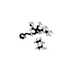 CCOC(=O)c1c(CNCCc2ccccn2)[nH]c(C(=O)OC(C)(C)C)c1CC.O=C(O)C(F)(F)F.O=C(O)C(F)(F)F